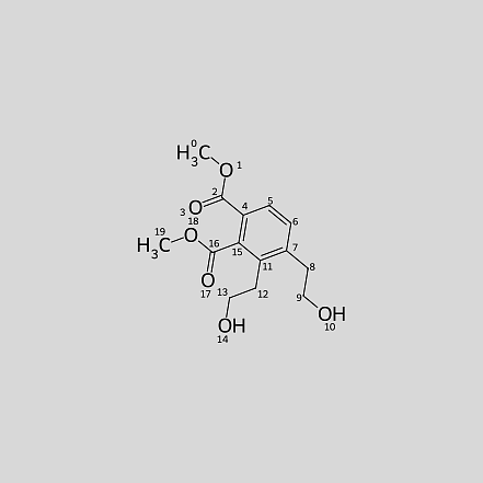 COC(=O)c1ccc(CCO)c(CCO)c1C(=O)OC